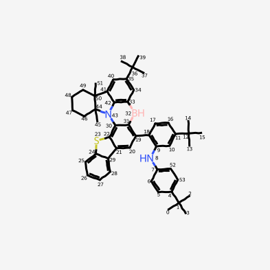 CC(C)(C)c1ccc(Nc2cc(C(C)(C)C)ccc2-c2cc3c(sc4ccccc43)c3c2Bc2cc(C(C)(C)C)cc4c2N3C2(C)CCCCC42C)cc1